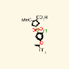 CO[C@H]1C[C@@H](S(=O)(=O)c2ccc(O[C@H](C)C(F)(F)F)cc2Cl)C[C@@H]1C(=O)O